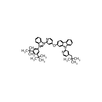 CC(C)(C)Cc1ccnc(-n2c3ccccc3c3ccc(Oc4ccnc(-n5c[n+](-c6cc(C(C)(C)C)cc(C(C)(C)C)c6)c6ccccc65)c4)cc32)c1